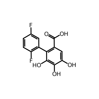 O=C(O)c1cc(O)c(O)c(O)c1-c1cc(F)ccc1F